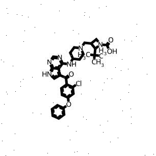 CC(C)(C)C1C(CN2CCC(Nc3ncnc4[nH]cc(C(=O)c5ccc(Oc6ccccc6)cc5Cl)c34)CC2)CN1C(=O)O